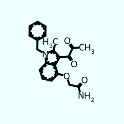 CC(=O)C(=O)c1c(C)n(Cc2ccccc2)c2cccc(OCC(N)=O)c12